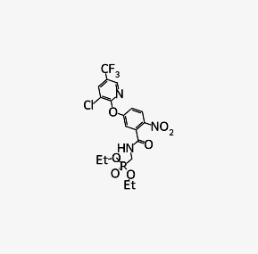 CCOP(=O)(CNC(=O)c1cc(Oc2ncc(C(F)(F)F)cc2Cl)ccc1[N+](=O)[O-])OCC